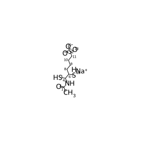 CC(=O)NC(S)C(S)CCCCS(=O)(=O)[O-].[Na+]